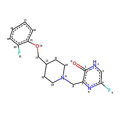 O=c1[nH]cc(F)nc1CN1CCC(COc2ccccc2F)CC1